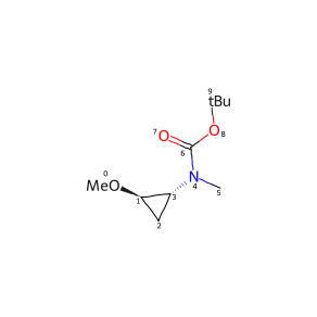 CO[C@@H]1C[C@H]1N(C)C(=O)OC(C)(C)C